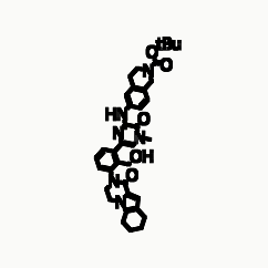 Cn1cc(-c2cccc(N3CCn4c(cc5c4CCCC5)C3=O)c2CO)nc(Nc2ccc3c(c2)CCN(C(=O)OC(C)(C)C)C3)c1=O